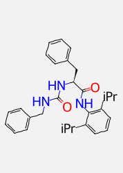 CC(C)c1cccc(C(C)C)c1NC(=O)[C@H](Cc1ccccc1)NC(=O)NCc1ccccc1